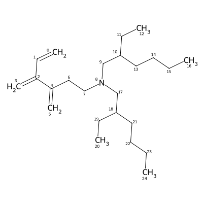 C=CC(=C)C(=C)CCN(CC(CC)CCCC)CC(CC)CCCC